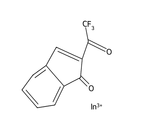 O=C1C(C(=O)C(F)(F)F)=Cc2ccccc21.[In+3]